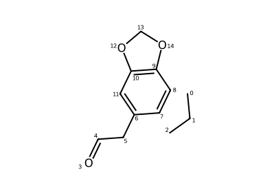 CCC.O=CCc1ccc2c(c1)OCO2